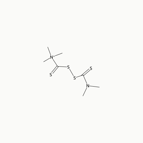 CN(C)C(=S)SSC(=S)[N+](C)(C)C